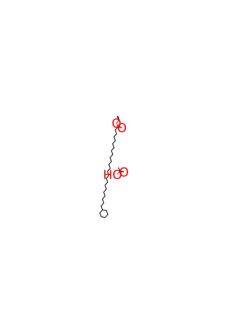 C=COC(=O)CCCCCCCCCCCCCCCCCCCCCCCC1CCCCC1.CC(=O)O